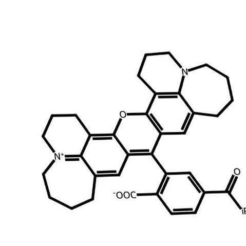 CC(C)C(=O)c1ccc(C(=O)[O-])c(C2=c3cc4c5c(c3Oc3c2cc2c6c3CCCN6CCCC2)CCC[N+]=5CCCC4)c1